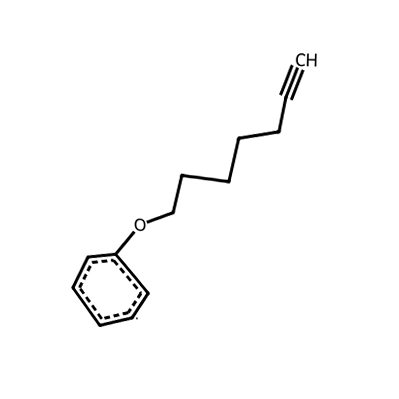 C#CCCCCCOc1c[c]ccc1